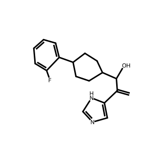 C=C(c1cnc[nH]1)C(O)C1CCC(c2ccccc2F)CC1